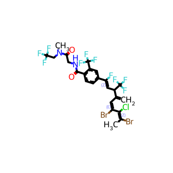 C=C(/C=C(Br)\C(Cl)=C(/C)Br)C(/C=C(\F)c1ccc(C(=O)NCC(=O)N(C)CC(F)(F)F)c(C(F)(F)F)c1)C(F)(F)F